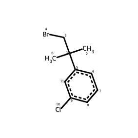 CC(C)(CBr)c1cccc(Cl)c1